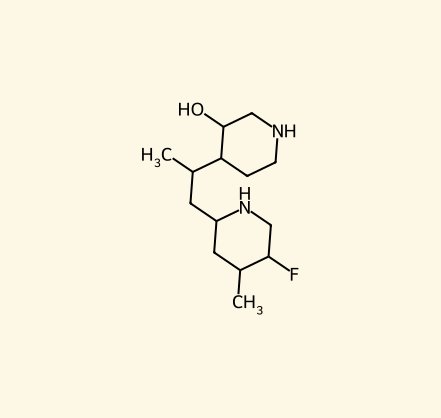 CC1CC(CC(C)C2CCNCC2O)NCC1F